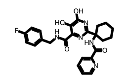 O=C(NC1(c2nc(O)c(O)c(C(=O)NCc3ccc(F)cc3)n2)CCCCC1)c1ccccn1